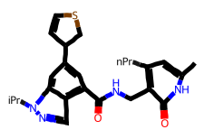 CCCc1cc(C)[nH]c(=O)c1CNC(=O)c1cc(C2C=CSC2)cc2c1cnn2C(C)C